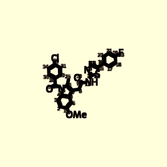 COc1ccc2c(c1)c(CC(=O)Nc1nnc(-c3ccc(F)cc3)s1)c(C)n2C(=O)c1ccc(Cl)cc1